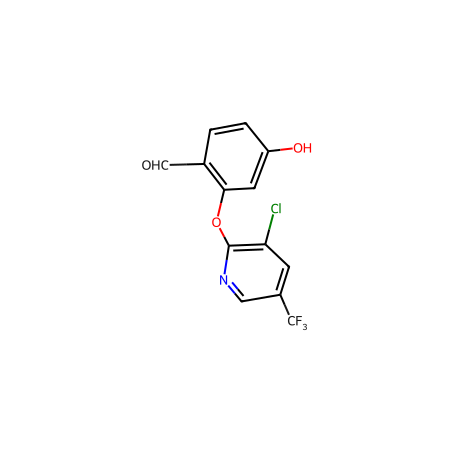 O=Cc1ccc(O)cc1Oc1ncc(C(F)(F)F)cc1Cl